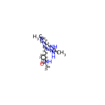 Cc1cc(Nc2cc(N3CCN(C)CC3)nc(/C=C/c3cccc(NC(=O)C4CC4)c3)n2)n[nH]1